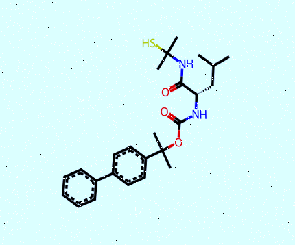 CC(C)C[C@H](NC(=O)OC(C)(C)c1ccc(-c2ccccc2)cc1)C(=O)NC(C)(C)S